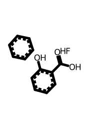 F.O=C(O)c1ccccc1O.c1ccccc1